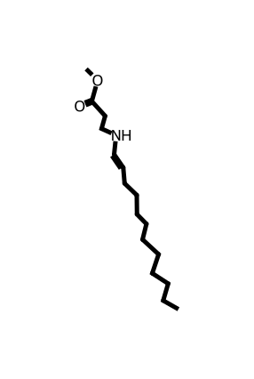 CCCCCCCCCCC=CNCCC(=O)OC